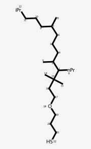 CCCC(C(C)CCCC(C)CCCC(C)C)C(C)(C)CCOCCCS